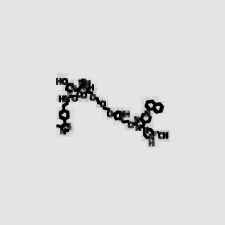 Cc1ncsc1-c1ccc(CCNC(=O)[C@@H]2C[C@H](O)CN2C(=O)[C@@H](NC(=O)COCCOCCO[C@H]2CN[C@@H](CCOc3nc4c(c(N5CCN[C@@H](CC#N)C5)n3)CCN(c3cccc5ccccc35)C4)C2)C(C)(C)C)cc1